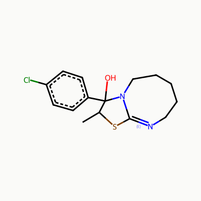 CC1S/C2=N/CCCCCN2C1(O)c1ccc(Cl)cc1